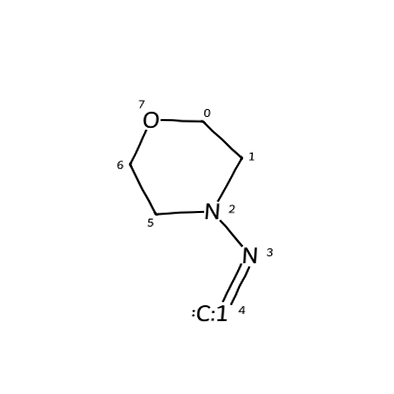 C1CN(N=[C:1])CCO1